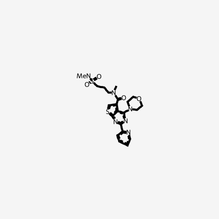 CNS(=O)(=O)CCCN(C)C(=O)c1csc2nc(-c3ccccn3)nc(N3CCOCC3)c12